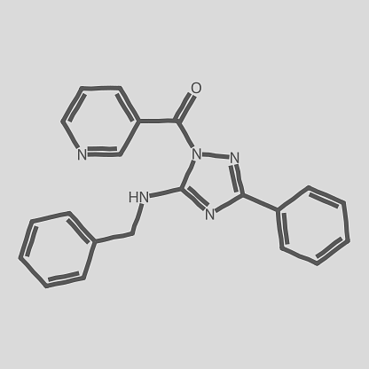 O=C(c1cccnc1)n1nc(-c2ccccc2)nc1NCc1ccccc1